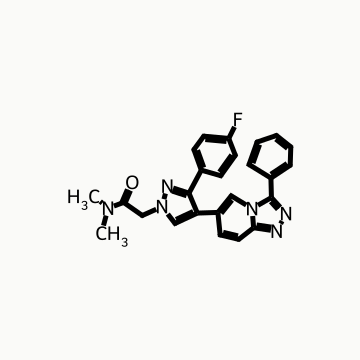 CN(C)C(=O)Cn1cc(-c2ccc3nnc(-c4ccccc4)n3c2)c(-c2ccc(F)cc2)n1